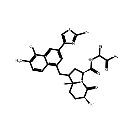 CCC(NC(=O)[C@@H]1CC(Cc2cc(-c3csc(C(C)C)n3)cc3c(Cl)c(C)ccc23)[C@H]2CC[C@H](C(C)C)C(=O)N21)C(=O)C(C)=O